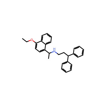 CCOc1ccc(C(C)NCCC(c2ccccc2)c2ccccc2)c2ccccc12